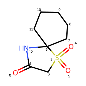 O=C1CS(=O)(=O)C2(CCCCC2)N1